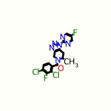 CC1Cc2c(nnn2-c2ncc(F)cn2)CN1C(=O)c1ccc(Cl)c(F)c1Cl